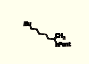 C=C(CCCCC)CCCCCC(C)CC